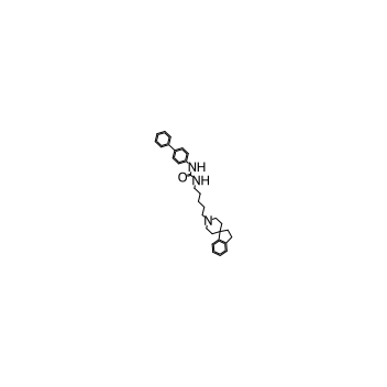 O=C(NCCCCCN1CCC2(CCc3ccccc32)CC1)Nc1ccc(-c2ccccc2)cc1